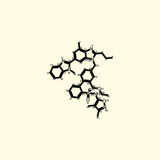 CCCc1nc2c(C)cc(-c3nc4ccccc4n3C)cc2n1Cc1ccc(-c2ccccc2S(=O)(=O)Nc2onc(C)c2C)c(COCC)c1